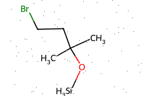 CC(C)(CCBr)O[SiH3]